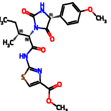 CC[C@@H](C)[C@@H](C(=O)Nc1nc(C(=O)OC)cs1)N1C(=O)N[C@H](c2ccc(OC)cc2)C1=O